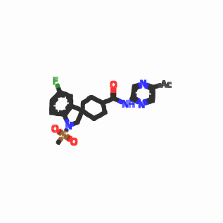 CC(=O)c1cnc(NC(=O)C2CCC3(CC2)CN(S(C)(=O)=O)c2ccc(F)cc23)cn1